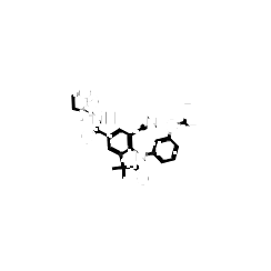 CC1(C)C(=O)N(c2cccc(OC(F)F)c2)c2c(C#N)cc(C(=O)NS3(C)CCOO3)cc21